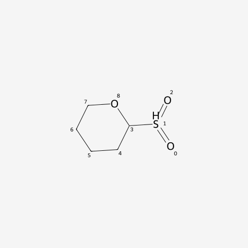 O=[SH](=O)C1CCCCO1